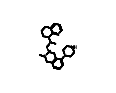 CN(C[C@H]1Cc2c(cccc2N2CCNCC2)CN1C)C1CCCc2cccnc21